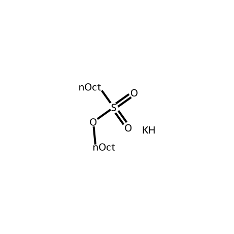 CCCCCCCCOS(=O)(=O)CCCCCCCC.[KH]